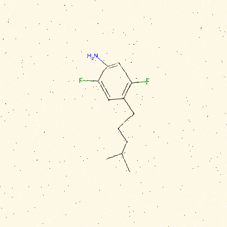 C[C](C)CCCc1cc(F)c(N)cc1F